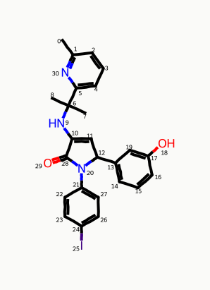 Cc1cccc(C(C)(C)NC2=CC(c3cccc(O)c3)N(c3ccc(I)cc3)C2=O)n1